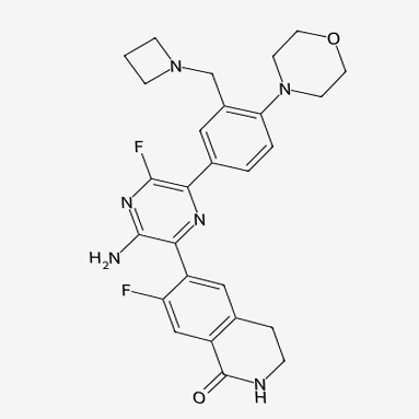 Nc1nc(F)c(-c2ccc(N3CCOCC3)c(CN3CCC3)c2)nc1-c1cc2c(cc1F)C(=O)NCC2